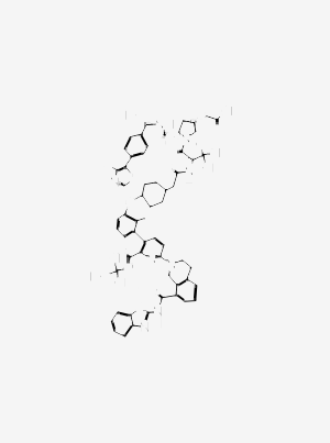 CC(=O)O[C@@H]1C[C@@H](C(=O)N[C@@H](C)c2ccc(-c3scnc3C)cc2)N(C(=O)[C@@H](NC(=O)CC2CCC(Oc3cccc(-c4ccc(N5CCc6cccc(C(=O)Nc7nc8ccccc8s7)c6C5)nc4C(=O)OC(C)(C)C)c3C)CC2)C(C)(C)C)C1